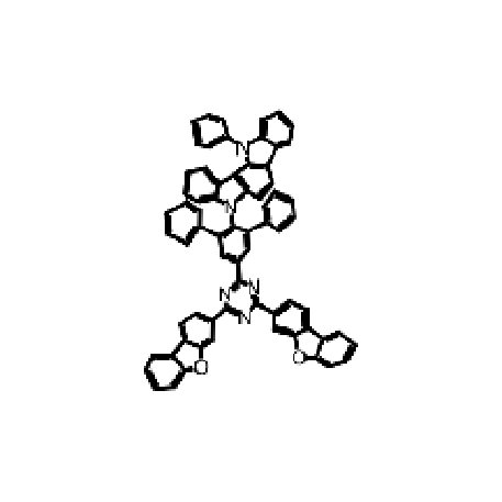 c1ccc(-c2cc(-c3nc(-c4ccc5c(c4)oc4ccccc45)nc(-c4ccc5c(c4)oc4ccccc45)n3)cc(-c3ccccc3)c2-n2c3ccccc3c3c2ccc2c4ccccc4n(-c4ccccc4)c23)cc1